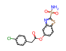 NS(=O)(=O)c1nc2cc(OC(=O)Cc3ccc(Cl)cc3)ccc2s1